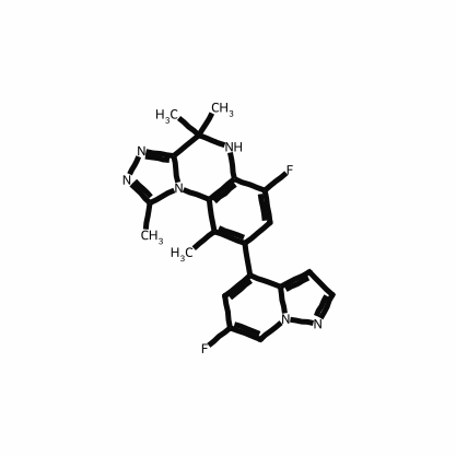 Cc1c(-c2cc(F)cn3nccc23)cc(F)c2c1-n1c(C)nnc1C(C)(C)N2